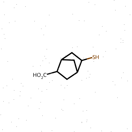 O=C(O)C1CC2CC1CC2S